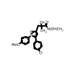 COc1ccc(-n2nc(CC(C)(C)C(=O)N(C)O)cc2-c2ccc(Cl)cc2)cc1